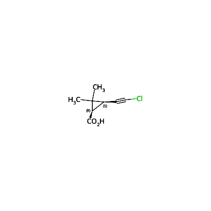 CC1(C)[C@H](C(=O)O)[C@@H]1C#CCl